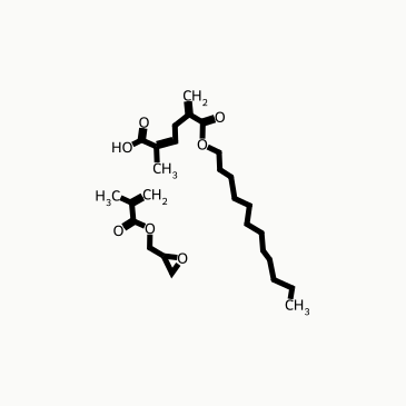 C=C(C)C(=O)OCC1CO1.C=C(CC=C(C)C(=O)O)C(=O)OCCCCCCCCCCCC